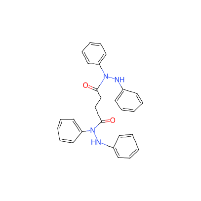 O=C(CCC(=O)N(Nc1ccccc1)c1ccccc1)N(Nc1ccccc1)c1ccccc1